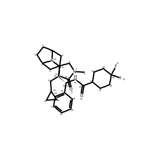 CN1CC2(CC3CCC(C2)N3CC[C@H](NC(=O)C2CCC(F)(F)CC2)c2ccccc2)N(CC2CC2)C1=O